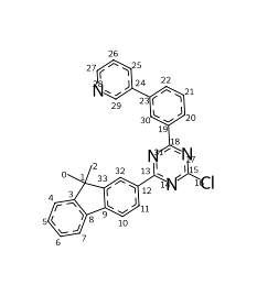 CC1(C)c2ccccc2-c2ccc(-c3nc(Cl)nc(-c4cccc(-c5cccnc5)c4)n3)cc21